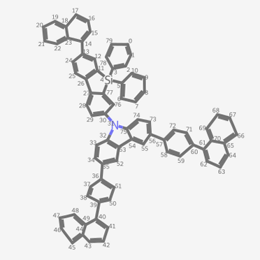 c1ccc([Si]2(c3ccccc3)c3cc(-c4cccc5ccccc45)ccc3-c3ccc(-n4c5ccc(-c6ccc(-c7cccc8ccccc78)cc6)cc5c5cc(-c6ccc(-c7cccc8ccccc78)cc6)ccc54)cc32)cc1